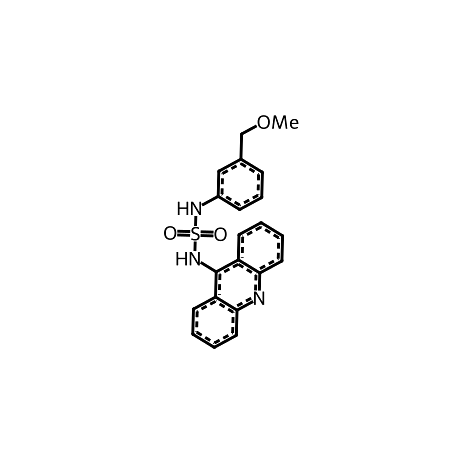 COCc1cccc(NS(=O)(=O)Nc2c3ccccc3nc3ccccc23)c1